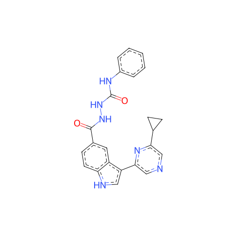 O=C(NNC(=O)c1ccc2[nH]cc(-c3cncc(C4CC4)n3)c2c1)Nc1ccccc1